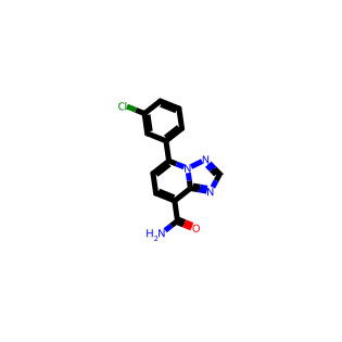 NC(=O)c1ccc(-c2cccc(Cl)c2)n2n[c]nc12